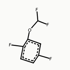 Fc1ccc(F)c(OC(F)F)c1